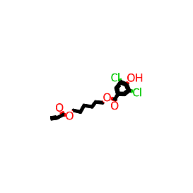 C=CC(=O)OCCCCCCOC(=O)c1cc(Cl)c(O)c(Cl)c1